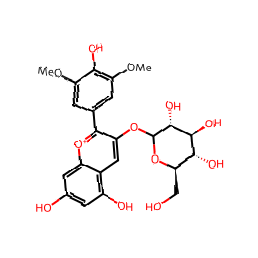 COc1cc(-c2[o+]c3cc(O)cc(O)c3cc2OC2O[C@H](CO)[C@@H](O)[C@H](O)[C@H]2O)cc(OC)c1O